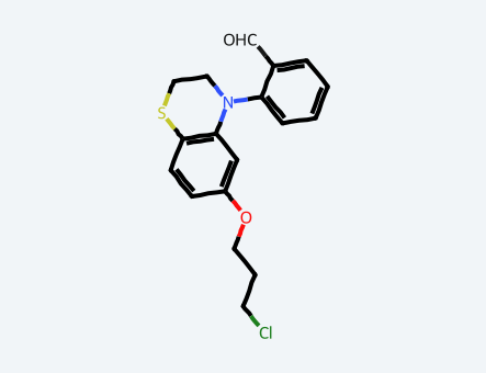 O=Cc1ccccc1N1CCSc2ccc(OCCCCl)cc21